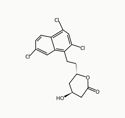 O=C1C[C@@H](O)C[C@H](CCc2c(Cl)cc(Cl)c3ccc(Cl)cc23)O1